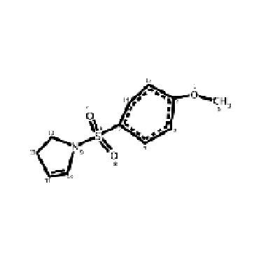 COc1ccc(S(=O)(=O)N2C=CCC2)cc1